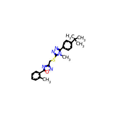 Cc1ccccc1-c1nc(CSc2nnc(-c3ccc(C(C)(C)C)cc3)n2C)no1